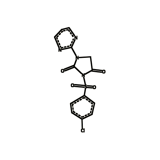 O=C1CN(c2ncccn2)C(=O)N1S(=O)(=O)c1ccc(Cl)cc1